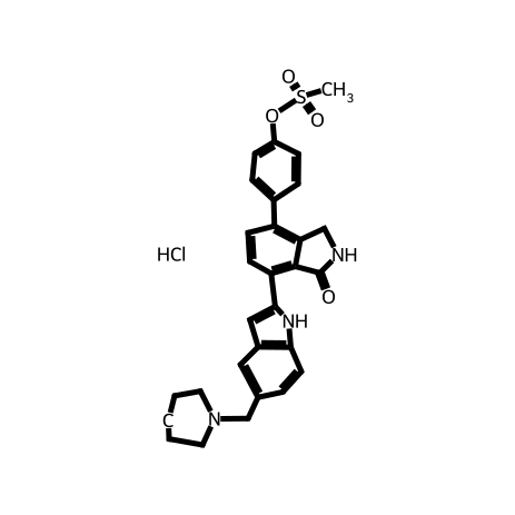 CS(=O)(=O)Oc1ccc(-c2ccc(-c3cc4cc(CN5CCCCC5)ccc4[nH]3)c3c2CNC3=O)cc1.Cl